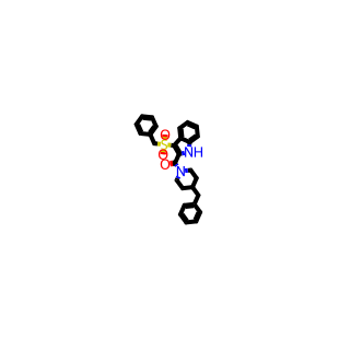 O=C(c1[nH]c2ccccc2c1S(=O)(=O)Cc1ccccc1)N1CCC(Cc2ccccc2)CC1